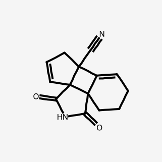 N#CC12CC=CC13C(=O)NC(=O)C31CCCC=C21